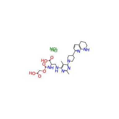 Cc1nc(NCC(NC(=O)OCC(=O)O)C(=O)O)c(C)c(N2CCC(c3ccc4c(n3)NCCC4)CC2)n1.Cl.Cl